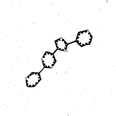 c1cncc(-c2ncc(-c3cnc(-c4cccnc4)[nH]3)cn2)c1